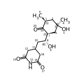 C[C@H]1C[C@@](C)(O)C[C@@H]([C@H](O)CC2CC(=O)NC(=O)C2)C1=O